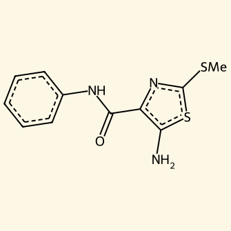 CSc1nc(C(=O)Nc2ccccc2)c(N)s1